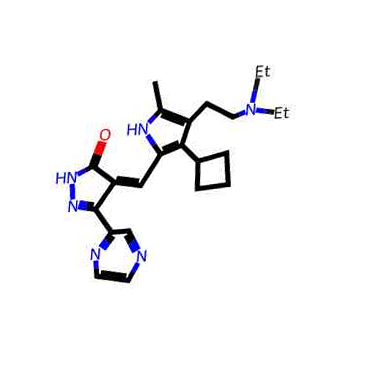 CCN(CC)CCc1c(C)[nH]c(C=C2C(=O)NN=C2c2cnccn2)c1C1CCC1